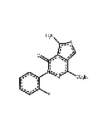 CCOC(=O)c1nn(-c2ccccc2F)c(=O)c2c(N)scc12